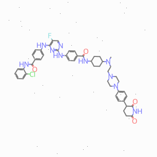 CN(CCN1CCN(c2ccc(C3CCC(=O)NC3=O)cc2)CC1)C1CCC(NC(=O)c2ccc(Nc3ncc(F)c(Nc4ccc(C(=O)Nc5ccccc5Cl)cc4)n3)cc2)CC1